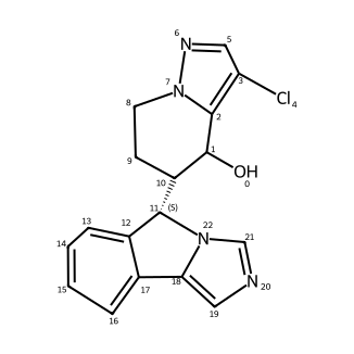 OC1c2c(Cl)cnn2CCC1[C@H]1c2ccccc2-c2cncn21